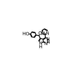 Oc1ccc(C(O)c2c[nH]c3nnnc(-c4ncccn4)c23)cc1